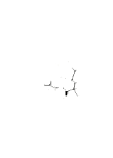 CCCCCCCCCCCCCC(C)C(=O)OCC(CCCC)CCCCCC